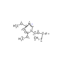 COC(=O)/N=C\C(C(=O)OC)[C@@H](C)OC(F)F